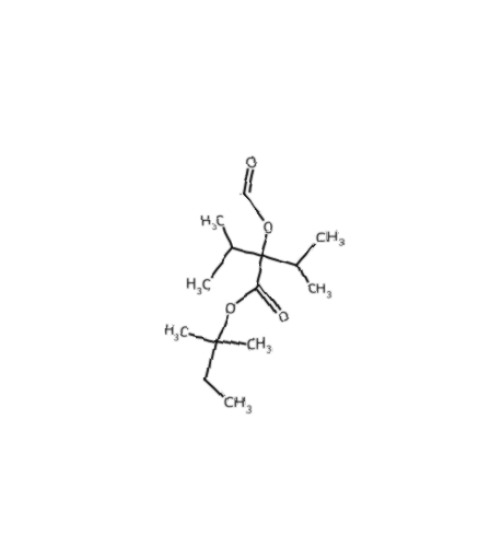 CCC(C)(C)OC(=O)C(O[C]=O)(C(C)C)C(C)C